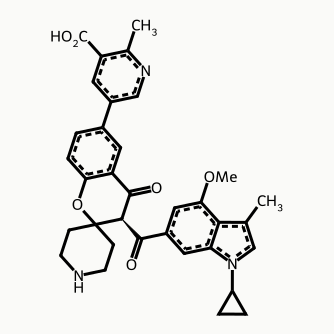 COc1cc(C(=O)[C@@H]2C(=O)c3cc(-c4cnc(C)c(C(=O)O)c4)ccc3OC23CCNCC3)cc2c1c(C)cn2C1CC1